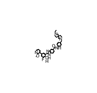 CCN1CCC2(CCN(Cc3ccc(NC(=O)c4ccc5[nH]c(-c6cc(-c7cccnc7OC)cc(F)c6O)nc5c4)cc3)C2)C1